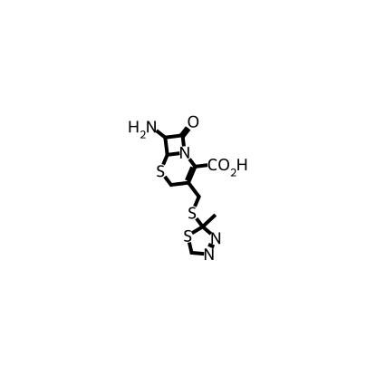 CC1(SCC2=C(C(=O)O)N3C(=O)C(N)C3SC2)N=NCS1